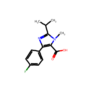 CC(C)c1nc(-c2ccc(F)cc2)c(C(=O)O)n1C